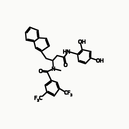 CN(C(=O)c1cc(C(F)(F)F)cc(C(F)(F)F)c1)C(CC(=O)Nc1ccc(O)cc1O)Cc1ccc2ccccc2c1